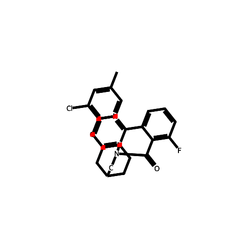 Cc1cnc(OC2CC3CCC2N(C(=O)c2c(F)cccc2-c2ncccn2)C3)c(Cl)c1